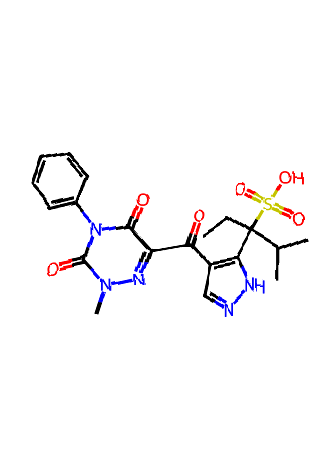 CCC(c1[nH]ncc1C(=O)c1nn(C)c(=O)n(-c2ccccc2)c1=O)(C(C)C)S(=O)(=O)O